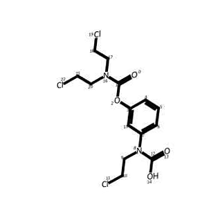 O=C(Oc1cccc(N(CCCl)C(=O)O)c1)N(CCCl)CCCl